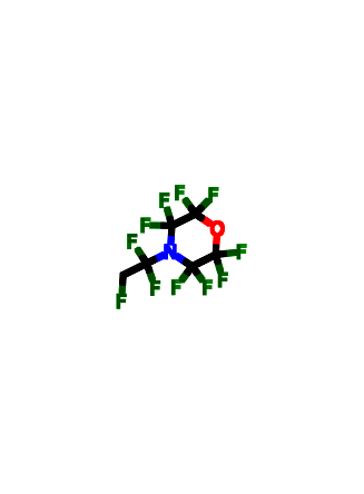 FCC(F)(F)N1C(F)(F)C(F)(F)OC(F)(F)C1(F)F